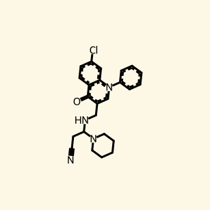 N#CCC(NCc1cn(-c2ccccc2)c2cc(Cl)ccc2c1=O)N1CCCCC1